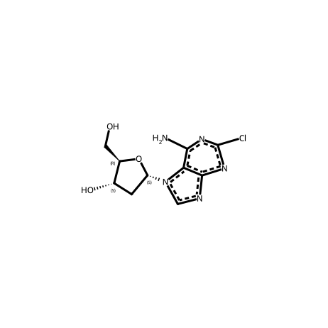 Nc1nc(Cl)nc2ncn([C@@H]3C[C@H](O)[C@@H](CO)O3)c12